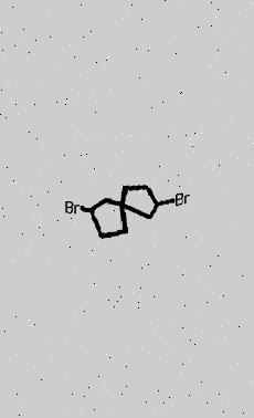 BrC1CCC2(CCC(Br)C2)C1